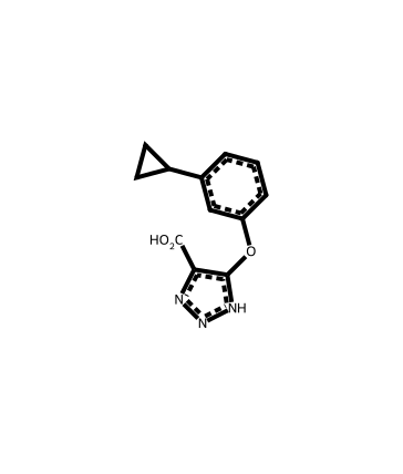 O=C(O)c1nn[nH]c1Oc1cccc(C2CC2)c1